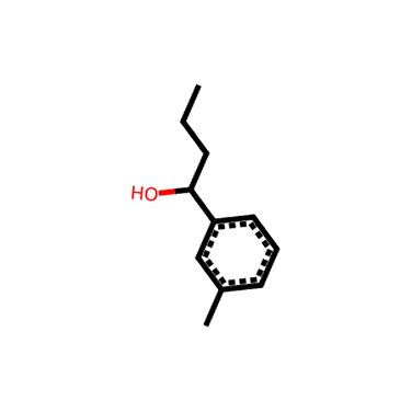 CCCC(O)c1cccc(C)c1